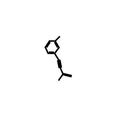 C=C(C)C#Cc1cccc(C)c1